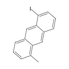 Cc1cccc2cc3c(I)cccc3cc12